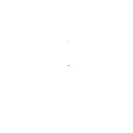 N[C@@H](Cc1ccccc1)C(O)C1=NCCO1